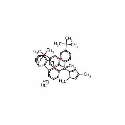 Cl.Cl.[CH2]=[Zr]([C]1=CC(C)=CC1C)([c]1ccc(C(C)(C)C)cc1)([c]1ccc(C(C)(C)C)cc1)[c]1cccc2c1Cc1ccccc1-2